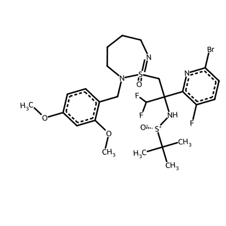 COc1ccc(CN2CCCCN=S2(=O)CC(N[S@@+]([O-])C(C)(C)C)(c2nc(Br)ccc2F)C(F)F)c(OC)c1